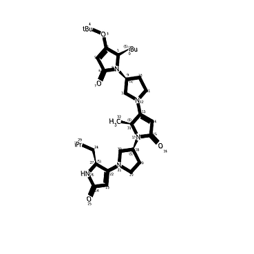 CC[C@H](C)C1C(OC(C)(C)C)=CC(=O)N1[C@H]1CCN(C2=CC(=O)N([C@H]3CCN(C4=CC(=O)N[C@H]4CC(C)C)C3)[C@H]2C)C1